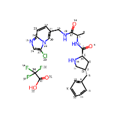 CC(NC(=O)[C@H]1C[C@H](Cc2ccccc2)CN1)C(=O)NCc1ccc2ncc(Cl)n2c1.O=C(O)C(F)(F)F